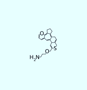 NCCCOCC1=CC2C(=CCC3=C4CCCC4=C4OC=CC=C4C=C32)CS1